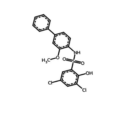 COc1cc(-c2ccccc2)ccc1NS(=O)(=O)c1cc(Cl)cc(Cl)c1O